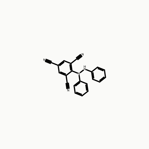 N#Cc1cc(C#N)c(N(Nc2ccccc2)c2ccccc2)c(C#N)c1